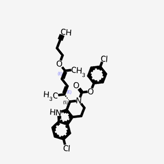 C#CCCO/C(C)=C/C=C(\C)[C@H]1c2[nH]c3ccc(Cl)cc3c2CCN1C(=O)Oc1ccc(Cl)cc1